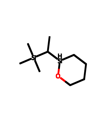 CC([SiH]1CCCCO1)[Si](C)(C)C